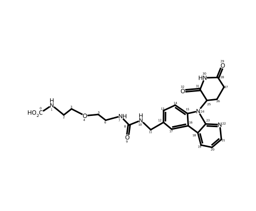 O=C(O)NCCOCCNC(=O)NCc1ccc2c(c1)c1cccnc1n2C1CCC(=O)NC1=O